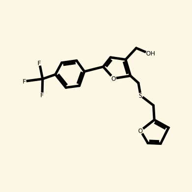 OCc1cc(-c2ccc(C(F)(F)F)cc2)oc1CSCc1ccco1